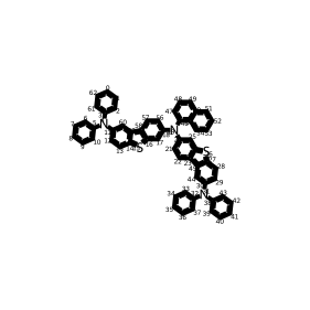 c1ccc(N(c2ccccc2)c2ccc3sc4cc(N(c5ccc6c(c5)sc5ccc(N(c7ccccc7)c7ccccc7)cc56)c5cccc6ccccc56)ccc4c3c2)cc1